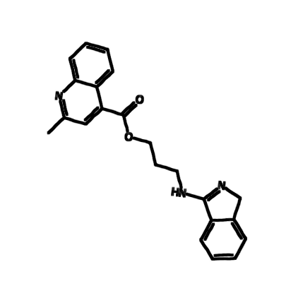 Cc1cc(C(=O)OCCCNC2=NCc3ccccc32)c2ccccc2n1